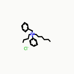 CCCCCC[N+](CCCC)(Cc1ccccc1)c1ccccc1.[Cl-]